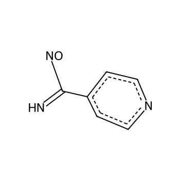 N=C(N=O)c1ccncc1